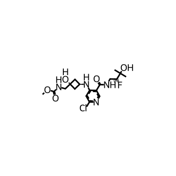 COC(=O)NC[C@]1(O)C[C@@H](Nc2cc(Cl)ncc2C(=O)NC[C@@H](F)C(C)(C)O)C1